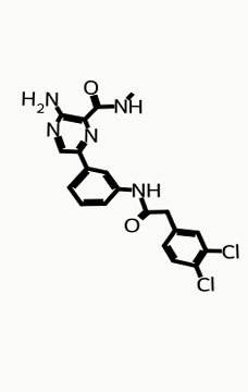 CNC(=O)c1nc(-c2cccc(NC(=O)Cc3ccc(Cl)c(Cl)c3)c2)cnc1N